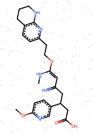 CN/C(=C\C(=N)CC(CC(=O)O)c1ccc(OC)nc1)OCCc1ccc2c(n1)NCCC2